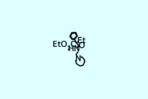 CCOC(=O)C(CC)(C(=O)NCCN1CCCCCCC1)c1ccccc1